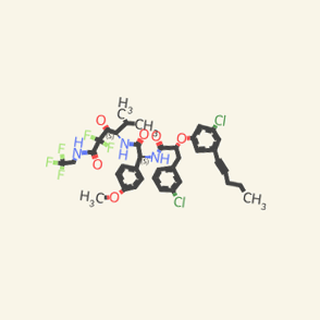 CCCC#Cc1cc(Cl)cc(OC(Cc2cccc(Cl)c2)C(=O)N[C@H](C(=O)N[C@H](C(=O)C(F)(F)C(=O)NCC(F)(F)F)C(C)C)c2ccc(OC)cc2)c1